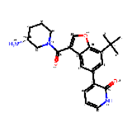 CC(C)(C)c1cc(-c2ccc[nH]c2=O)cc2c(C(=O)N3CCC[C@@H](N)C3)coc12